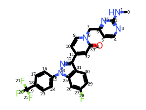 CNc1nccc(Cn2ccc(-c3nn(-c4ccc(C(F)(F)F)cc4)c4cc(F)ccc34)cc2=O)n1